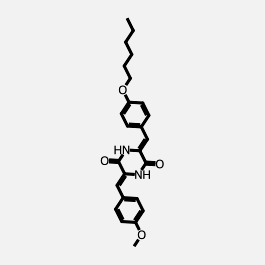 CCCCCCOc1ccc(C=c2[nH]c(=O)c(=Cc3ccc(OC)cc3)[nH]c2=O)cc1